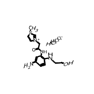 Cl.Cl.Cn1cc[n+](CC(=O)Nc2cc(N)ccc2NCCO)c1.[Cl-]